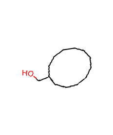 OCC1CCCCCCCCCCC1